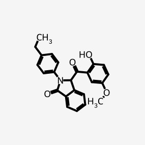 CCc1ccc(N2C(=O)c3ccccc3C2C(=O)c2cc(OC)ccc2O)cc1